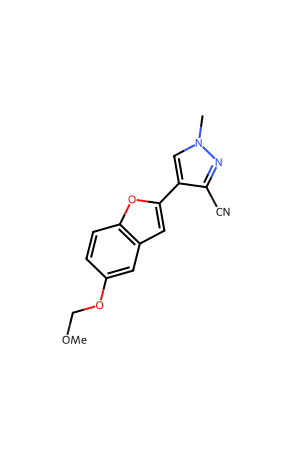 COCOc1ccc2oc(-c3cn(C)nc3C#N)cc2c1